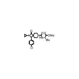 CC[C@H](C)[C@H](NC(=O)N1CCC2(CC1)C(=O)N(C1CC1)C2c1ccc(Cl)cc1)C(=O)OC